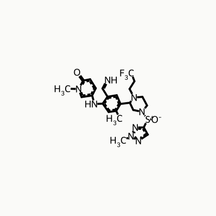 Cc1cc(Nc2ccc(=O)n(C)c2)c(C=N)cc1C1CN([S+]([O-])c2cnn(C)n2)CCN1CCC(F)(F)F